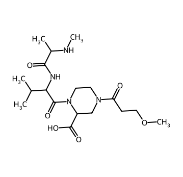 CNC(C)C(=O)NC(C(=O)N1CCN(C(=O)CCOC)CC1C(=O)O)C(C)C